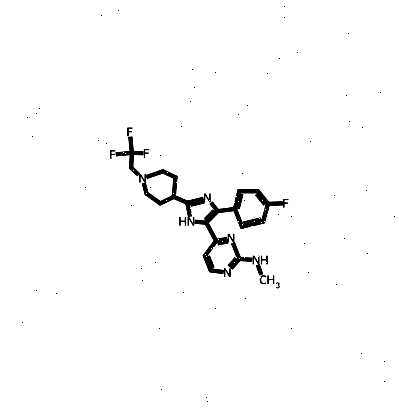 CNc1nccc(-c2[nH]c(C3CCN(CC(F)(F)F)CC3)nc2-c2ccc(F)cc2)n1